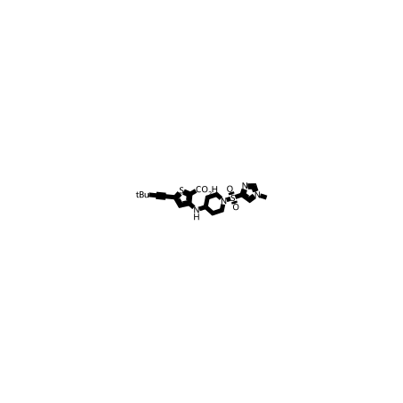 Cn1cnc(S(=O)(=O)N2CCC(Nc3cc(C#CC(C)(C)C)sc3C(=O)O)CC2)c1